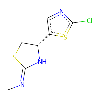 C/N=C1/N[C@@H](c2cnc(Cl)s2)CS1